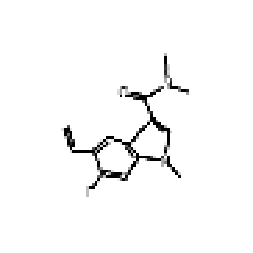 C=Cc1cc2c(C(=O)N(C)C)cn(C)c2cc1F